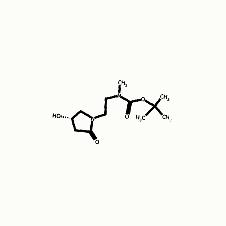 CN(CCN1C[C@@H](O)CC1=O)C(=O)OC(C)(C)C